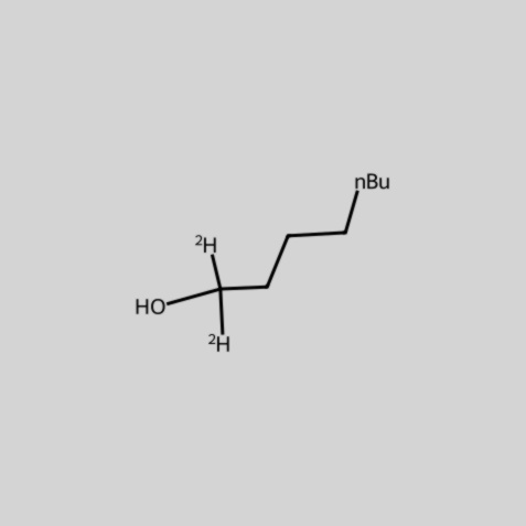 [2H]C([2H])(O)CCCCCCC